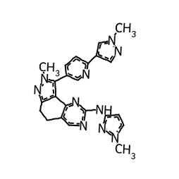 Cn1cc(-c2ccc(-c3c4c(nn3C)CCc3cnc(Nc5ccn(C)n5)nc3-4)cn2)cn1